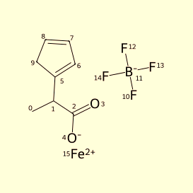 CC(C(=O)[O-])C1=CC=CC1.F[B-](F)(F)F.[Fe+2]